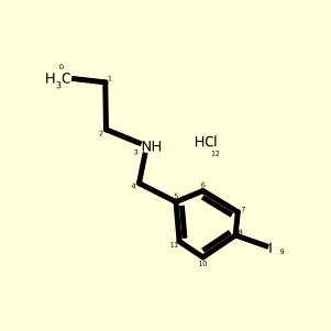 CCCNCc1ccc(I)cc1.Cl